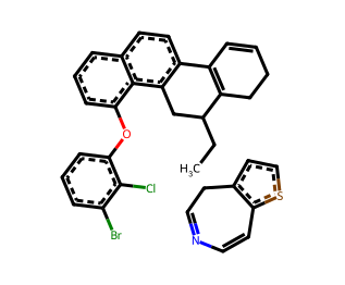 C1=Cc2sccc2CC=N1.CCC1Cc2c(ccc3cccc(Oc4cccc(Br)c4Cl)c23)C2=C1CCC=C2